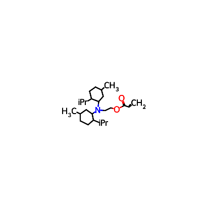 C=CC(=O)OCCN(C1CC(C)CCC1C(C)C)C1CC(C)CCC1C(C)C